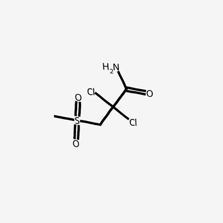 CS(=O)(=O)CC(Cl)(Cl)C(N)=O